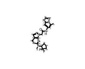 Cc1cc(NC(=O)Cn2ncc3cnc(N(C)C4CCCC4(F)F)nc32)cc2ncnn12